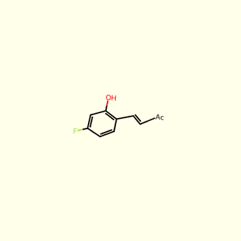 CC(=O)C=Cc1ccc(F)cc1O